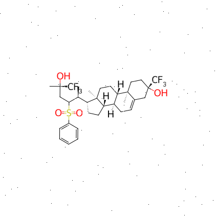 C[C@H](C(C[C@](C)(O)C(F)(F)F)S(=O)(=O)c1ccccc1)[C@H]1CC[C@H]2[C@@H]3CC=C4C[C@](O)(C(F)(F)F)CC[C@]4(C)[C@H]3CC[C@]12C